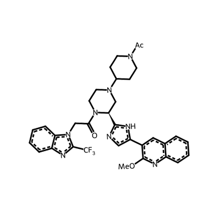 COc1nc2ccccc2cc1-c1cnc([C@@H]2CN(C3CCN(C(C)=O)CC3)CCN2C(=O)Cn2c(C(F)(F)F)nc3ccccc32)[nH]1